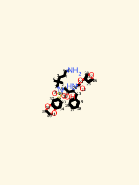 CC(C)(CCCN)CN(C[C@H](O)[C@H](Cc1ccccc1)NC(=O)Oc1ccoc1)S(=O)(=O)c1ccc2c(c1)OCCO2